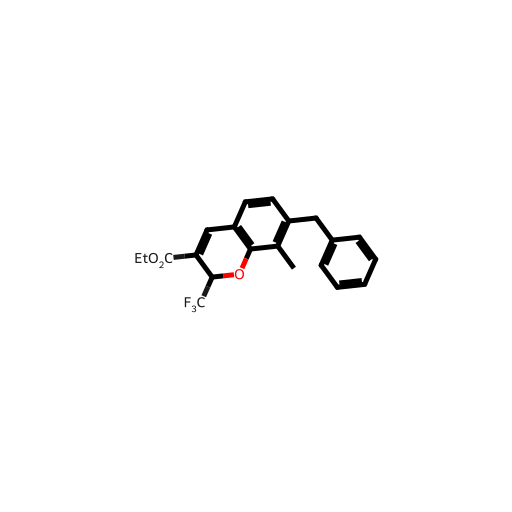 CCOC(=O)C1=Cc2ccc(Cc3ccccc3)c(C)c2OC1C(F)(F)F